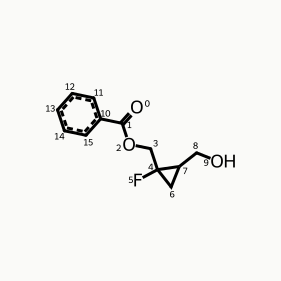 O=C(OCC1(F)CC1CO)c1ccccc1